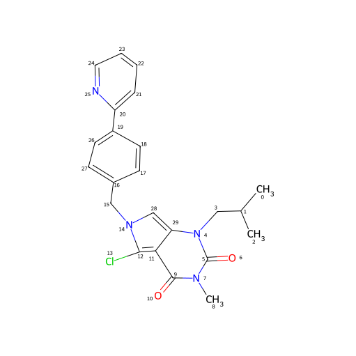 CC(C)Cn1c(=O)n(C)c(=O)c2c(Cl)n(Cc3ccc(-c4ccccn4)cc3)cc21